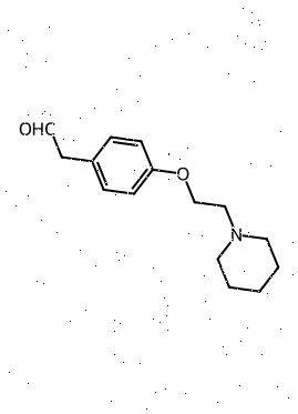 O=CCc1ccc(OCCN2CCCCC2)cc1